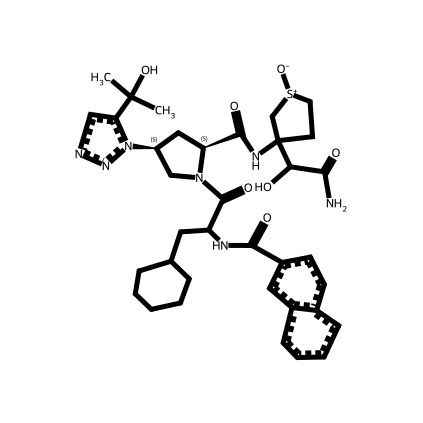 CC(C)(O)c1cnnn1[C@H]1C[C@@H](C(=O)NC2(C(O)C(N)=O)CC[S+]([O-])C2)N(C(=O)C(CC2CCCCC2)NC(=O)c2ccc3ccccc3c2)C1